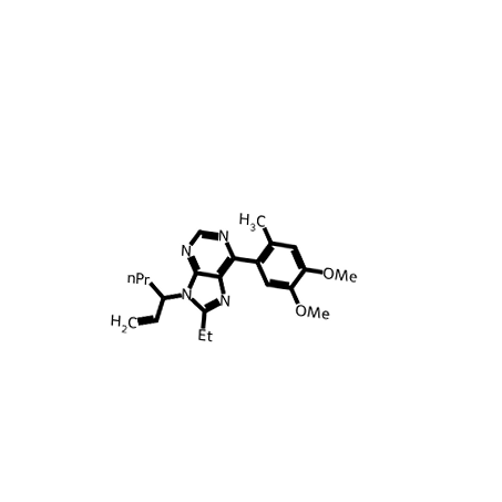 C=CC(CCC)n1c(CC)nc2c(-c3cc(OC)c(OC)cc3C)ncnc21